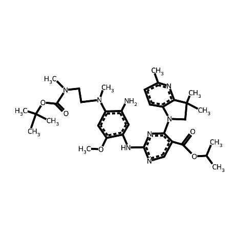 COc1cc(N(C)CCN(C)C(=O)OC(C)(C)C)c(N)cc1Nc1ncc(C(=O)OC(C)C)c(N2CC(C)(C)c3nc(C)ccc32)n1